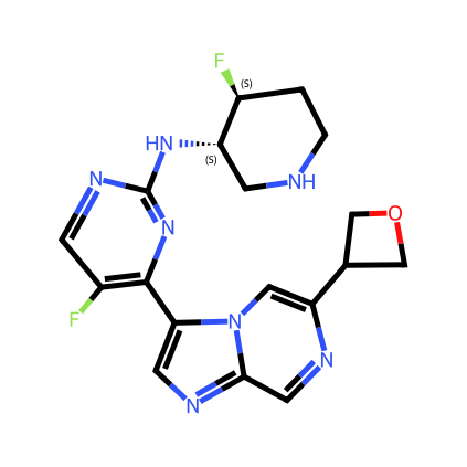 Fc1cnc(N[C@H]2CNCC[C@@H]2F)nc1-c1cnc2cnc(C3COC3)cn12